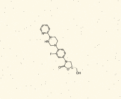 O=C1O[C@@H](CO)CN1c1ccc(N2CCN(c3ccccn3)NC2)c(F)c1